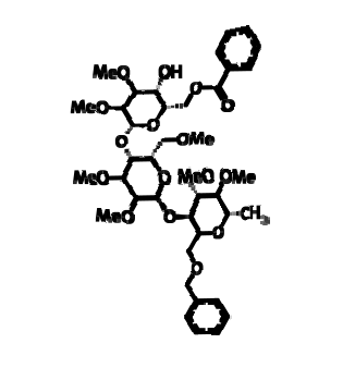 COC[C@@H]1O[C@@H](O[C@@H]2C(COCc3ccccc3)O[C@@H](C)C(OC)[C@H]2OC)C(OC)C(OC)[C@@H]1O[C@H]1O[C@@H](COC(=O)c2ccccc2)[C@@H](O)C(OC)C1OC